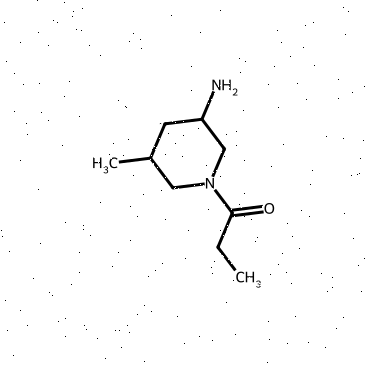 CCC(=O)N1CC(C)[CH]C(N)C1